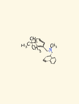 CN(Cc1cccc(C(C)(C)C)c1)Cc1cccc2ccccc12